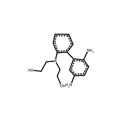 Nc1ccc(N)c(-c2ccccc2N(CCO)CCO)c1